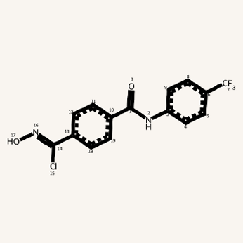 O=C(Nc1ccc(C(F)(F)F)cc1)c1ccc(/C(Cl)=N/O)cc1